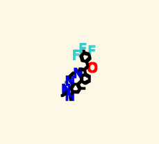 Cc1cc2c(nc(C)n2C)c2c1-c1cccc3c(C(=O)c4cc(F)c(F)c(F)c4)cn(c13)CCN2C